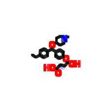 CCc1ccc(C(OC2CCN(C)CC2)c2ccccc2)cc1.O=C(O)/C=C/C(=O)O